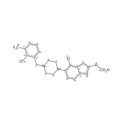 O=C(O)Oc1cc2c(Cl)c(N3CCN(Cc4cccc(C(F)(F)F)c4Cl)CC3)ccc2o1